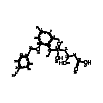 Cc1cc(C)c(C(C)P(=O)(O)CC(O)CC(=O)O)c(OCc2ccc(F)cc2)c1